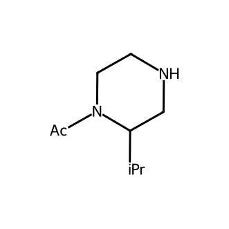 CC(=O)N1CCNCC1C(C)C